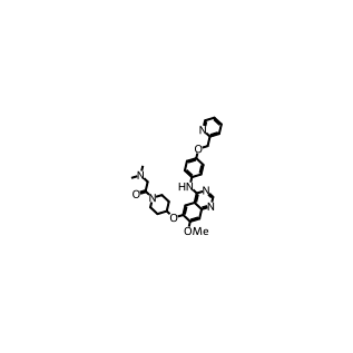 COc1cc2ncnc(Nc3ccc(OCc4ccccn4)cc3)c2cc1OC1CCN(C(=O)CN(C)C)CC1